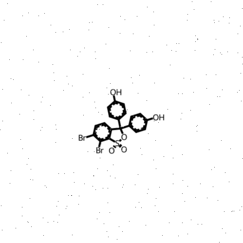 O=S1(=O)OC(c2ccc(O)cc2)(c2ccc(O)cc2)c2ccc(Br)c(Br)c21